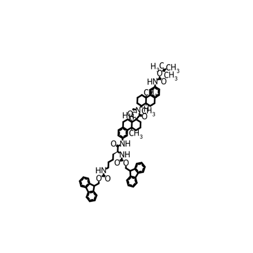 CC(C)(C)OC(=O)Nc1ccc2c(c1)[C@@]1(C)CCC[C@](C)(N(C=O)C(=O)[C@@]3(C)CCC[C@]4(C)c5cc(NC(=O)[C@H](CCCCNC(=O)OCC6c7ccccc7-c7ccccc76)NC(=O)OCC6c7ccccc7-c7ccccc76)ccc5CC[C@@H]34)[C@@H]1CC2